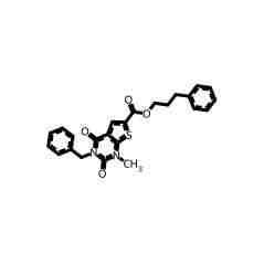 Cn1c(=O)n(Cc2ccccc2)c(=O)c2cc(C(=O)OCCCc3ccccc3)sc21